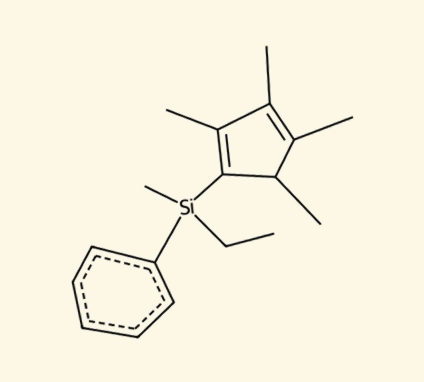 CC[Si](C)(C1=C(C)C(C)=C(C)C1C)c1ccccc1